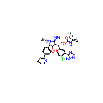 CC(C)(C)C[C@]1(c2ccc(-c3ccccn3)cc2)NC(=N)C([C@H](COC(=O)NC2(C)CC2)c2ccc(Cl)c(-c3ncn[nH]3)c2)C1O